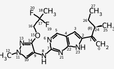 C=C(c1cc2cnc(Nc3cn(C)nc3OCC(C)(F)F)nc2[nH]1)[C@H](C)CC